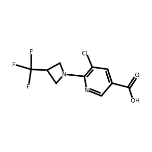 O=C(O)c1cnc(N2CC(C(F)(F)F)C2)c(Cl)c1